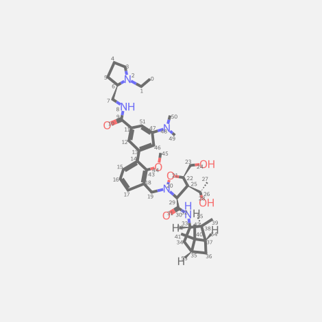 CCN1CCC[C@@H]1CNC(=O)c1cc(-c2cccc(CN3O[C@@H](CO)[C@@H]([C@H](C)O)[C@H]3C(=O)N[C@H]3C[C@H]4C[C@@H]([C@@H]3C)C4(C)C)c2OC)cc(N(C)C)c1